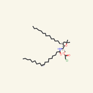 CCCCCCCC/C=C\CCCCCCCC(=O)N[C@@H](COC(=O)CCl)[C@@H]1OC(C)(C)C[C@@H]1CCCCCCCCCCCCCC